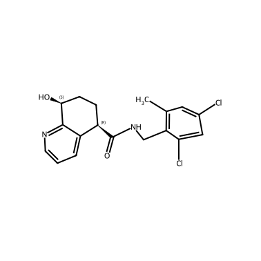 Cc1cc(Cl)cc(Cl)c1CNC(=O)[C@@H]1CC[C@H](O)c2ncccc21